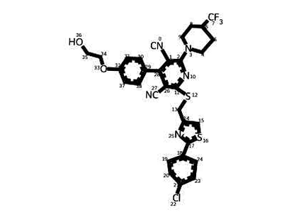 [C-]#[N+]c1c(N2CCC(C(F)(F)F)CC2)nc(SCc2csc(-c3ccc(Cl)cc3)n2)c(C#N)c1-c1ccc(OCCO)cc1